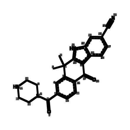 CC1(C)c2cc(C(=O)N3CCNCC3)ccc2C(=O)c2c1[nH]c1cc(C#N)ccc21